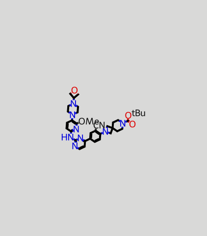 COc1nc(Nc2nccc(-c3ccc(N4CC5(CCN(C(=O)OC(C)(C)C)CC5)C4)c(C#N)c3)n2)ccc1N1CCN(C2COC2)CC1